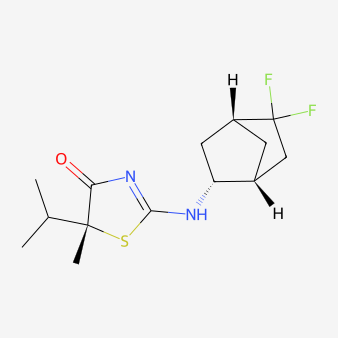 CC(C)[C@@]1(C)SC(N[C@@H]2C[C@H]3C[C@@H]2CC3(F)F)=NC1=O